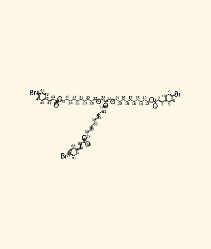 O=C(C=Cc1ccc(Br)cc1)OCCCCCCCCCCOCC(COCCCCCCCCCCOC(=O)C=Cc1ccc(Br)cc1)OCCCCCCCCCCOC(=O)C=Cc1ccc(Br)cc1